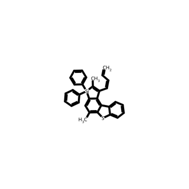 C=C/C=C\C1=C(C)[Si](c2ccccc2)(c2ccccc2)c2cc(C)c3sc4ccccc4c3c21